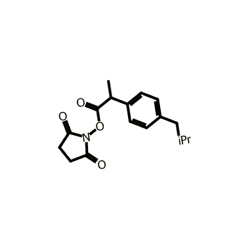 CC(C)Cc1ccc(C(C)C(=O)ON2C(=O)CCC2=O)cc1